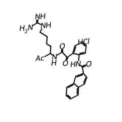 CC(=O)C(CCCCNC(=N)N)NC(=O)C(=O)c1ccccc1NC(=O)c1ccc2ccccc2c1.Cl